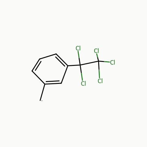 [CH2]c1cccc(C(Cl)(Cl)C(Cl)(Cl)Cl)c1